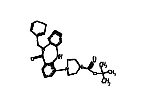 CC(C)(C)OC(=O)N1CCN(c2cccc3c2Nc2ccccc2N(CC2=CCCC=C2)C3=O)CC1